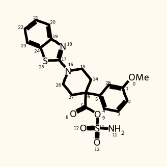 COc1cccc(C2(C(=O)OS(N)(=O)=O)CCN(c3nc4ccccc4s3)CC2)c1